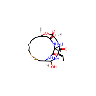 C/C=C1\NC(O)[C@H]2CSSCCCC[C@H](CC(=O)N[C@H](C(C)C)C(=O)N2)OC(=O)[C@H](C(C)C)NC1=O